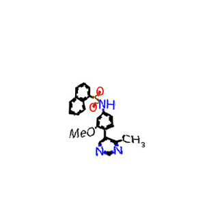 COc1cc(NS(=O)(=O)c2cccc3ccccc23)ccc1-c1cncnc1C